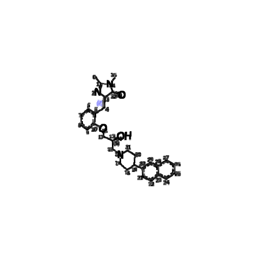 CC1=N/C(=C\c2ccccc2OC[C@@H](O)CN2CCC(c3ccc4ccccc4c3)CC2)C(=O)N1C